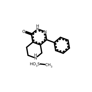 CS(=O)(=O)O.O=c1[nH]nc(-c2ccccc2)c2c1CCNC2